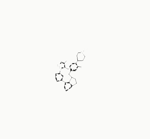 CCOC(=O)c1cnn(-c2cccc(-c3cccc4c3C(Cc3ccc(C5CCN(C(=O)O)CC5)c(CC)c3)CC4)c2)c1NC